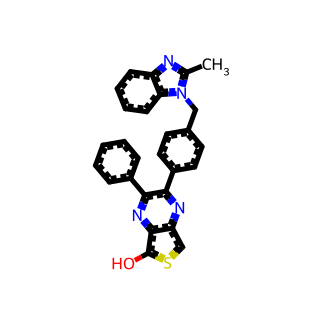 Cc1nc2ccccc2n1Cc1ccc(-c2nc3csc(O)c3nc2-c2ccccc2)cc1